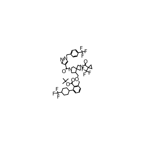 CC(C)(C)OC(=O)c1c(COCC2CN(C(=O)c3cnn(Cc4ccc(C(F)(F)F)cc4)c3)CC23CN(C(=O)C2(C(F)(F)F)CC2)C3)cccc1C1CCC(C(F)(F)F)CC1